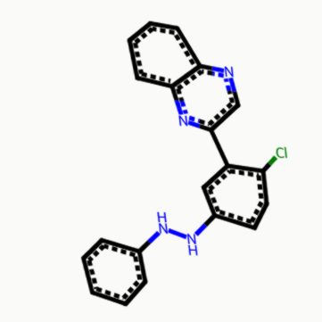 Clc1ccc(NNc2ccccc2)cc1-c1cnc2ccccc2n1